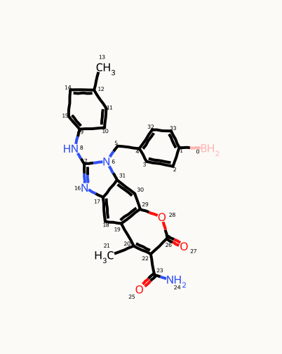 Bc1ccc(Cn2c(Nc3ccc(C)cc3)nc3cc4c(C)c(C(N)=O)c(=O)oc4cc32)cc1